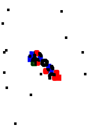 CCC(C(=O)O)n1ccn(-c2ccc(N3CCOc4ncnc(Cl)c4C3=O)cc2)c1=O